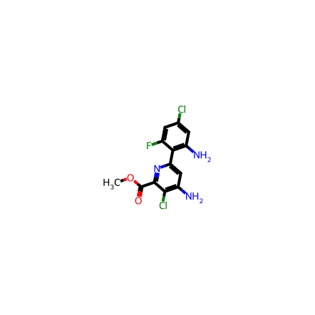 COC(=O)c1nc(-c2c(N)cc(Cl)cc2F)cc(N)c1Cl